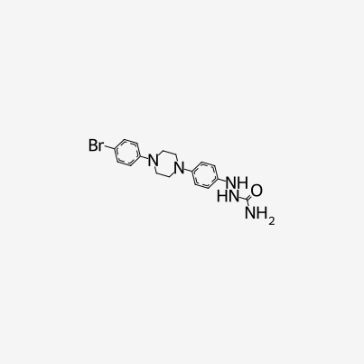 NC(=O)NNc1ccc(N2CCN(c3ccc(Br)cc3)CC2)cc1